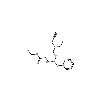 C#CCC(COP(NCC(=O)OCC)Oc1ccccc1)OC